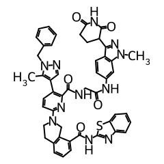 Cc1c(-c2ccc(N3CCc4cccc(C(=O)Nc5nc6ccccc6s5)c4C3)nc2C(=O)NCC(=O)Nc2ccc3c(C4CCC(=O)NC4=O)nn(C)c3c2)cnn1Cc1ccccc1